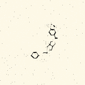 COc1cc(C#N)ccc1OCC(=O)N1C[C@@H]2CN(C(=O)c3ccc4[nH]nnc4c3)C[C@H]2C1